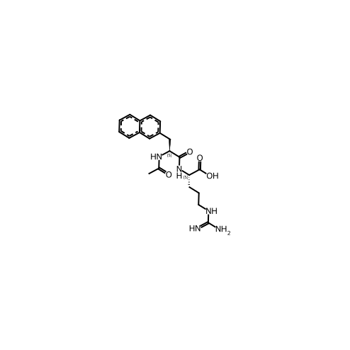 CC(=O)N[C@@H](Cc1ccc2ccccc2c1)C(=O)N[C@@H](CCCNC(=N)N)C(=O)O